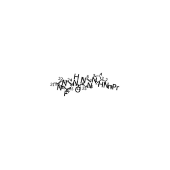 CCCNCC1CCN(c2cnc(C(=O)Nc3cc(F)c4nc(C)cn4c3)cn2)C1